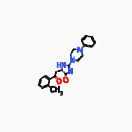 Cc1ccccc1C(=O)CC1NC(N2CCN(c3ccccc3)CC2)=NC1=O